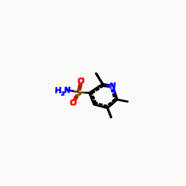 Cc1cc(S(N)(=O)=O)c(C)nc1C